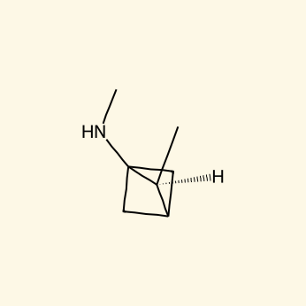 CNC12CC(C1)[C@@H]2C